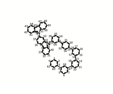 c1ccc(-c2cccc(-c3cccc(-c4cccc(-c5ccc(-c6cccc(-n7c8ccccc8c8ccc(-n9c%10ccccc%10c%10ccccc%109)cc87)c6)cc5)c4)c3)c2)cc1